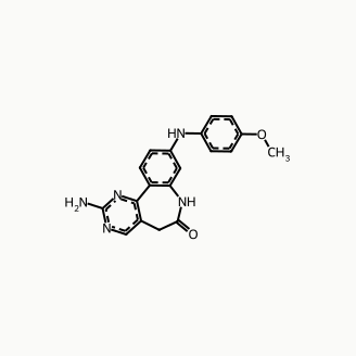 COc1ccc(Nc2ccc3c(c2)NC(=O)Cc2cnc(N)nc2-3)cc1